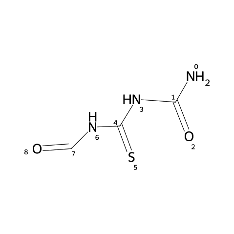 NC(=O)NC(=S)NC=O